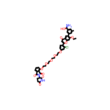 CCOc1cc2oc(-c3ccc(OCCOCCOCCOCCOc4cccc5c4C(=O)N(C4CCC(=O)NC4=O)C5=O)cc3Cl)cc(=O)c2cc1-c1cc(C)cc(C(N)O)c1